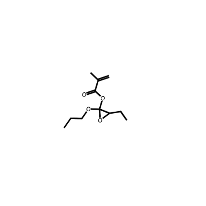 C=C(C)C(=O)OC1(OCCC)OC1CC